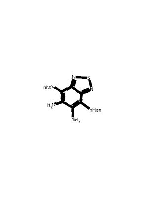 CCCCCCc1c(N)c(N)c(CCCCCC)c2nsnc12